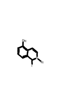 CCN1C=Cc2c(O)cccc2C1I